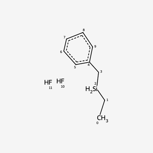 CC[SiH2]Cc1ccccc1.F.F